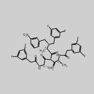 C[C@H](NC(=O)Cc1cc(F)cc(F)c1)C(=O)N(C(=O)[C@H](C)NC(=O)Cc1cc(F)cc(F)c1)C(=O)[C@H](C)N(Cc1cc(F)cc(F)c1)Cc1cccc([N+](=O)[O-])c1